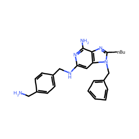 CCCCc1nc2c(N)nc(NCc3ccc(CN)cc3)cc2n1Cc1ccccc1